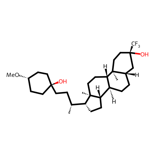 CO[C@H]1CC[C@@](O)(CC[C@@H](C)[C@H]2CC[C@H]3[C@@H]4CC[C@H]5C[C@](O)(C(F)(F)F)CC[C@]5(C)[C@H]4CC[C@]23C)CC1